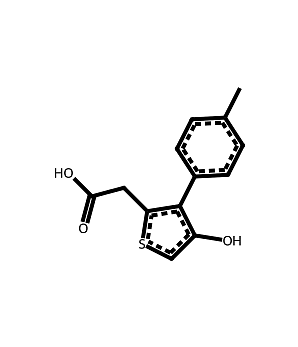 Cc1ccc(-c2c(O)csc2CC(=O)O)cc1